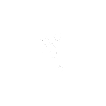 CN1C(=O)C(NC(=O)CCc2ccco2)N=C(c2ccccc2)c2ccccc21